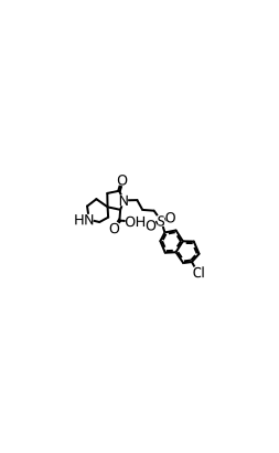 O=C(O)C1N(CCCS(=O)(=O)c2ccc3cc(Cl)ccc3c2)C(=O)CC12CCNCC2